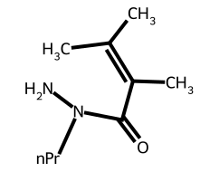 CCCN(N)C(=O)C(C)=C(C)C